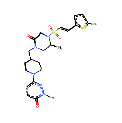 CC1CN(CC2CCN(c3ccc(=O)n(C)n3)CC2)C(=O)CN1S(=O)(=O)C=Cc1ccc(Cl)s1